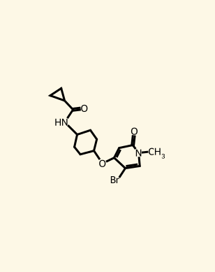 Cn1cc(Br)c(OC2CCC(NC(=O)C3CC3)CC2)cc1=O